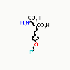 N[C@@H](CCC(CCc1ccc(OCCF)cc1)C(=O)O)C(=O)O